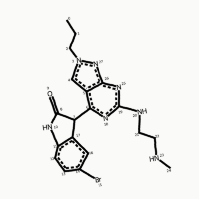 CCCn1cc2c(C3C(=O)Nc4ccc(Br)cc43)nc(NCCNC)nc2n1